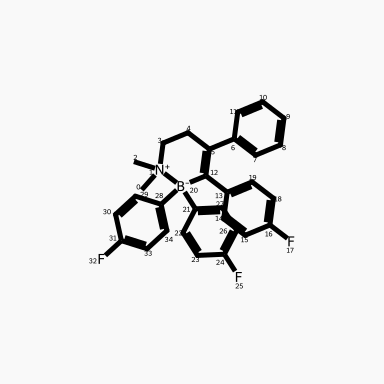 C[N+]1(C)CCC(c2ccccc2)=C(c2ccc(F)cc2)[B-]1(c1ccc(F)cc1)c1ccc(F)cc1